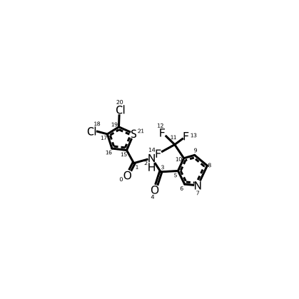 O=C(NC(=O)c1cnccc1C(F)(F)F)c1cc(Cl)c(Cl)s1